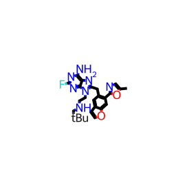 Cc1cnc(-c2cc3occc3cc2Cc2nc3c(N)nc(F)nc3n2CCNCC(C)(C)C)o1